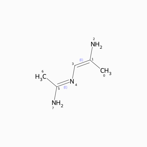 C/C(N)=C\N=C(/C)N